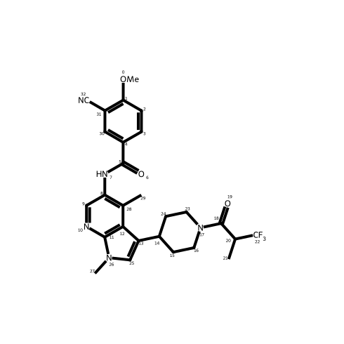 COc1ccc(C(=O)Nc2cnc3c(c(C4CCN(C(=O)C(C)C(F)(F)F)CC4)cn3C)c2C)cc1C#N